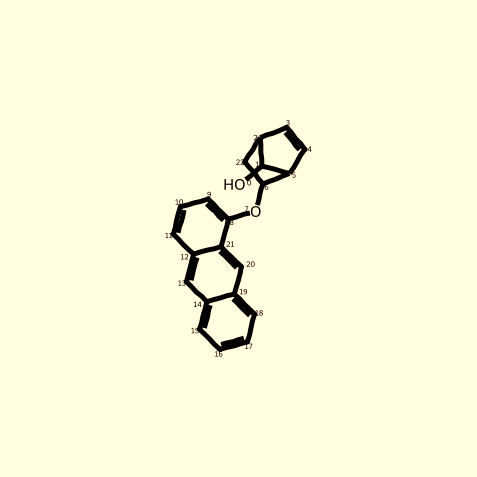 OC1C2C=CC1C(Oc1cccc3cc4ccccc4cc13)C2